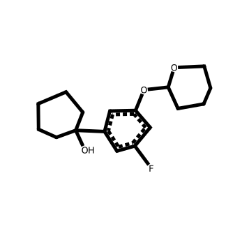 OC1(c2cc(F)cc(OC3CCCCO3)c2)CCCCC1